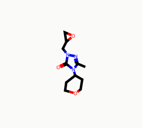 Cc1nn(CC2CO2)c(=O)n1C1CCOCC1